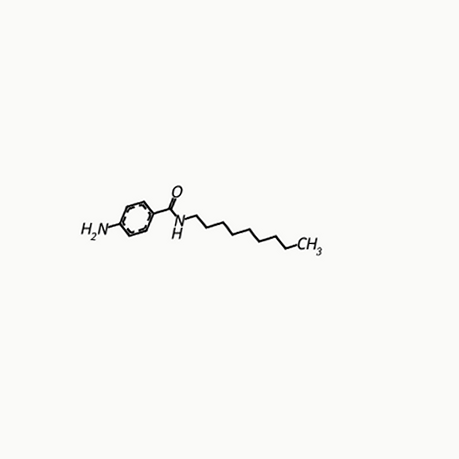 CCCCCCCCCNC(=O)c1ccc(N)cc1